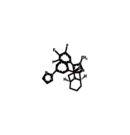 Cn1nc2c(c1-c1cc(F)c(F)c(F)c1)C[C@@H]1CCC[C@H]2N1C(=O)c1cncc(-n2cccn2)c1